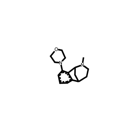 CN1CCC2CC1c1c2cccc1N1CCOCC1